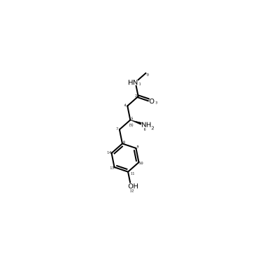 CNC(=O)C[C@@H](N)Cc1ccc(O)cc1